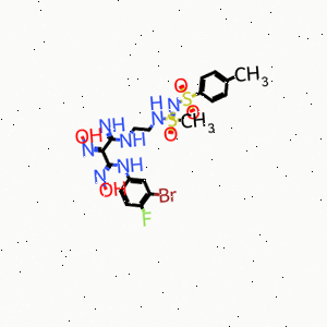 Cc1ccc(S(=O)(=O)N=S(C)(=O)NCCNC(=N)C(=N\O)/C(=N/O)Nc2ccc(F)c(Br)c2)cc1